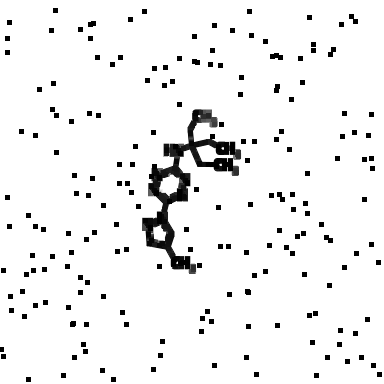 CCC(CC)(CC)Nc1nnc(-n2cc(C)cn2)nn1